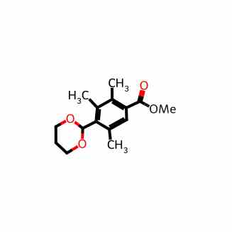 COC(=O)c1cc(C)c(C2OCCCO2)c(C)c1C